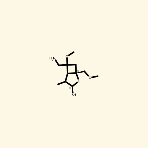 COC[C@]12CC(CN)(OC)C1C(C)[C@H](S)O2